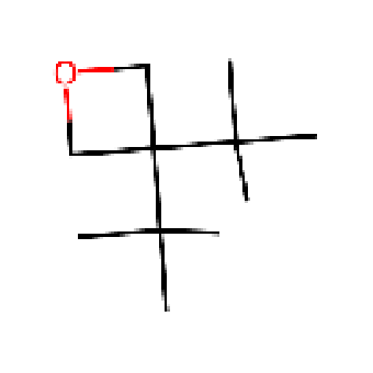 CC(C)(C)C1(C(C)(C)C)COC1